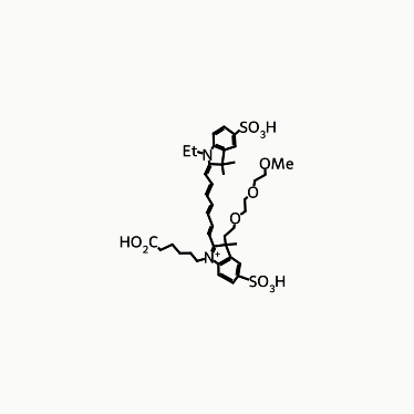 CCN1/C(=C/C=C/C=C/C=C/C2=[N+](CCCCCC(=O)O)c3ccc(S(=O)(=O)O)cc3C2(C)CCOCCOCCOC)C(C)(C)c2cc(S(=O)(=O)O)ccc21